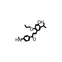 CCCOc1cc(O)c(C(C)C)cc1/C=C/C(=O)c1ccc(NC)cc1